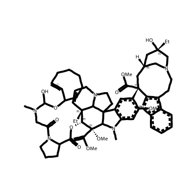 CC[C@]1(O)C[C@@H]2CN(CCc3c([nH]c4ccccc34)[C@@](C(=O)OC)(c3cc4c(cc3OC)N(C)C3C45CCN4CC=C[C@](CC)(C45)[C@@H](OC(=O)C4CCCN4C(=O)CN(C)C(O)OC4/C=C/CCCCC4)[C@]3(OC)C(=O)OC)C2)C1